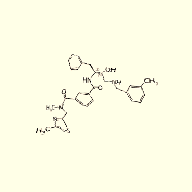 Cc1cccc(CNC[C@@H](O)[C@H](Cc2ccccc2)NC(=O)c2cccc(C(=O)N(C)Cc3nc(C)cs3)c2)c1